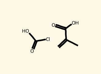 C=C(C)C(=O)O.O=C(O)Cl